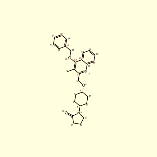 Cc1c(CO[C@H]2CC[C@H](N3CCCC3=O)CC2)nc2ccccc2c1OCc1ccccc1